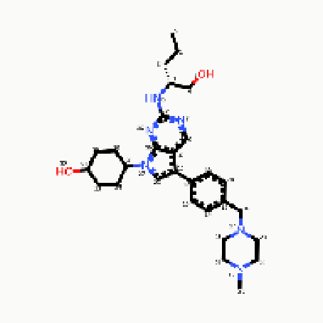 CCC[C@H](CO)Nc1ncc2c(-c3ccc(CN4CCN(C)CC4)cc3)cn(C3CCC(O)CC3)c2n1